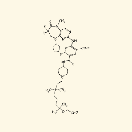 COc1cc(C(=O)NC2CCN(CCC(C)(C)CCCC(C)(C)OCC=O)CC2)c(F)cc1Nc1ncc2c(n1)N(C1CCCC1)CC(F)(F)C(=O)N2C